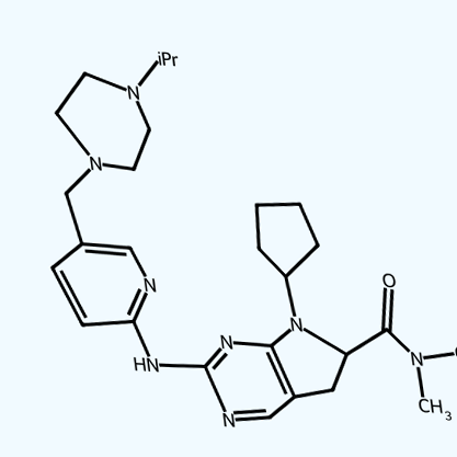 CC(C)N1CCN(Cc2ccc(Nc3ncc4c(n3)N(C3CCCC3)C(C(=O)N(C)C)C4)nc2)CC1